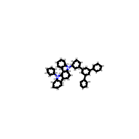 c1ccc(-c2cc(-c3ccccc3)cc(-c3cccc(-n4c5ccccc5c5c4ccc4c6ccccc6n(-c6ccccc6)c45)c3)c2)cc1